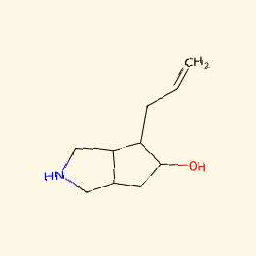 C=CCC1C(O)CC2CNCC21